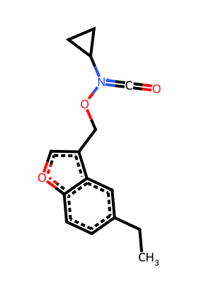 CCc1ccc2occ(CO[N+](=C=O)C3CC3)c2c1